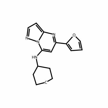 c1coc(-c2cc(NC3CCCCC3)n3nccc3n2)c1